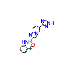 O=C(Nc1ccccc1F)c1cn2cc(-c3nc[nH]n3)ccc2n1